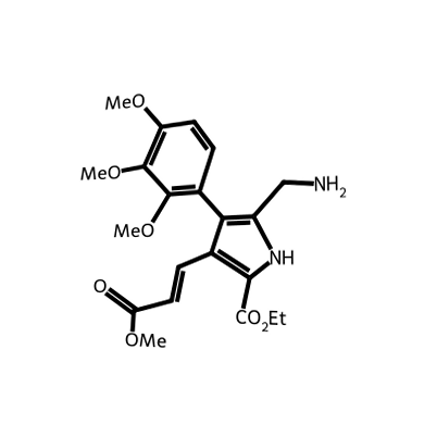 CCOC(=O)c1[nH]c(CN)c(-c2ccc(OC)c(OC)c2OC)c1C=CC(=O)OC